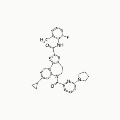 Cc1cccc(F)c1NC(=O)c1cc2c(s1)-c1ccc(C3CC3)cc1N(C(=O)c1cccc(N3CCCC3)n1)CC2